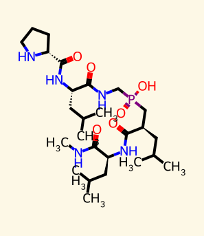 CNC(=O)[C@H](CC(C)C)NC(=O)[C@H](CC(C)C)CP(=O)(O)CNC(=O)[C@H](CC(C)C)NC(=O)[C@H]1CCCN1